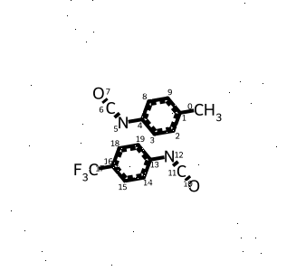 Cc1ccc(N=C=O)cc1.O=C=Nc1ccc(C(F)(F)F)cc1